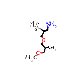 COCC(C)COCC(C)CN